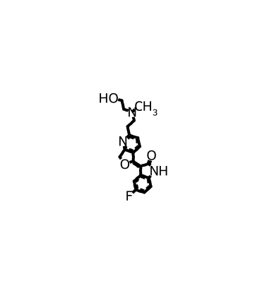 CN(CCO)CCc1ccc2c(n1)COC2=C1C(=O)Nc2ccc(F)cc21